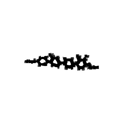 CCCCCCCC1COC(c2ccc(-c3ccc(-c4ccc(OCCCCCC)c(F)c4F)cc3)cc2F)OC1